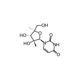 C[C@]1(O)[C@H](n2ccc(=O)[nH]c2=O)O[C@](C)(CO)[C@H]1O